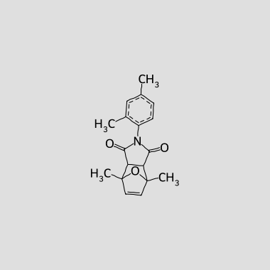 Cc1ccc(N2C(=O)C3C(C2=O)C2(C)C=CC3(C)O2)c(C)c1